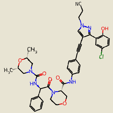 C[C@@H]1CN(C(=O)N[C@@H](C(=O)N2CCOC[C@H]2C(=O)Nc2ccc(C#Cc3cn(CCC#N)nc3-c3cc(Cl)ccc3O)cc2)c2ccccc2)C[C@H](C)O1